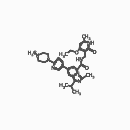 CCOc1cc(C)[nH]c(=O)c1CNC(=O)c1cc(-c2ccc(N3CCN(C)CC3)nc2)cc2c(C(C)C)nc(C)n12